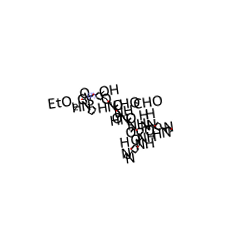 CCOC(=O)C1=C(Nc2ccccc2)S/C(=C\c2ccc(OCCNC(=O)CNC(=O)CNC(=O)CNC(=O)c3cc(NC(=O)Nc4ccc(C5=NCCN5)cc4)cc(NC(=O)Nc4ccc(C5=NCCN5)cc4)c3)c(O)c2)C1=O.O=CO